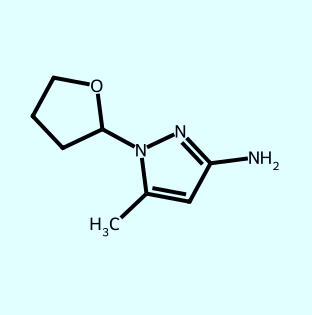 Cc1cc(N)nn1C1CCCO1